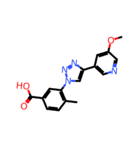 COc1cncc(-c2cn(-c3cc(C(=O)O)ccc3C)nn2)c1